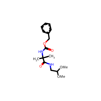 COC(CNC(=O)C(C)(C)NC(=O)OCc1ccccc1)OC